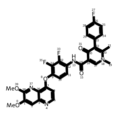 COc1cc2nccc(Oc3ccc(NC(=O)c4cn(C)c(C)c(-c5ccc(F)cc5)c4=O)c(F)c3F)c2nc1OC